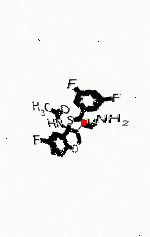 CC(=O)N[C@]1(SC(=N)c2cc(F)cc(F)c2)c2cc(F)ccc2OC[C@H]1CCN